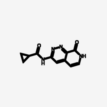 O=C(Nc1cc2cc[nH]c(=O)c2nn1)C1CC1